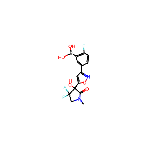 CN1CC(F)(F)C(O)(c2cc(-c3ccc(F)c(B(O)O)c3)no2)C1=O